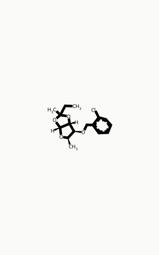 CCC1(C)O[C@H]2O[C@H](C)[C@H](OCc3ccccc3Cl)[C@H]2O1